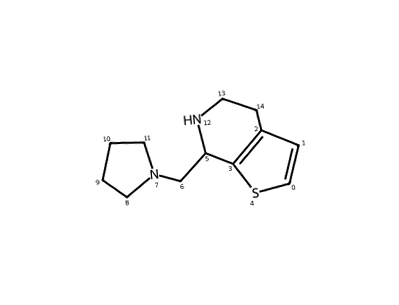 c1cc2c(s1)C(CN1CCCC1)NCC2